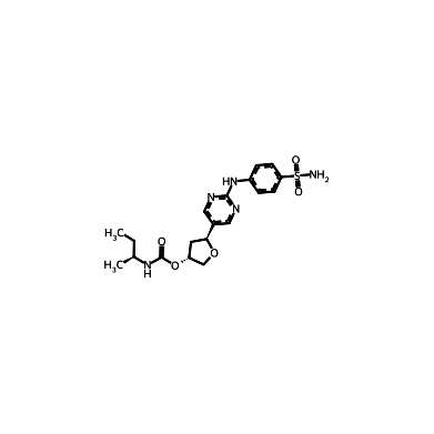 CC[C@H](C)NC(=O)O[C@H]1CO[C@H](c2cnc(Nc3ccc(S(N)(=O)=O)cc3)nc2)C1